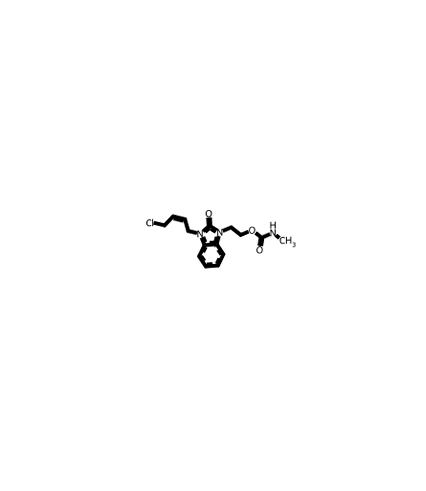 CNC(=O)OCCn1c(=O)n(C/C=C\CCl)c2ccccc21